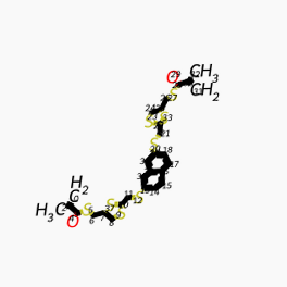 C=C(C)C(=O)SCC1CSC(CSc2ccc3ccc(SCC4SCC(CSC(=O)C(=C)C)S4)cc3c2)S1